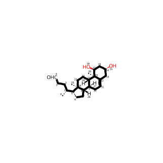 C[C@H](CCC=O)[C@H]1CC[C@H]2[C@@H]3CC=C4C[C@@H](O)C[C@H](O)[C@]4(C)[C@H]3CC[C@]12C